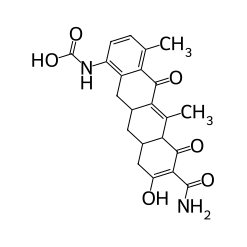 CC1=C2C(=O)c3c(C)ccc(NC(=O)O)c3CC2CC2CC(O)=C(C(N)=O)C(=O)C12